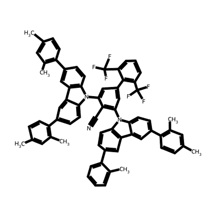 Cc1ccc(-c2ccc3c(c2)c2cc(-c4ccccc4C)ccc2n3-c2cc(-c3c(C(F)(F)F)cccc3C(F)(F)F)cc(-n3c4ccc(-c5ccc(C)cc5C)cc4c4cc(-c5ccc(C)cc5C)ccc43)c2C#N)c(C)c1